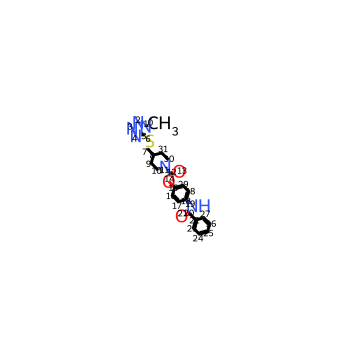 Cn1nnnc1SCC1CCN(C(=O)Oc2ccc(NC(=O)c3ccccc3)cc2)CC1